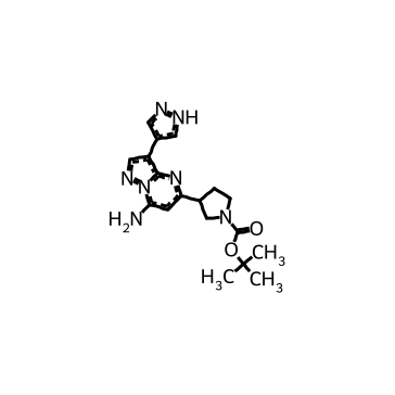 CC(C)(C)OC(=O)N1CCC(c2cc(N)n3ncc(-c4cn[nH]c4)c3n2)C1